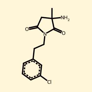 CC1(N)CC(=O)N(CCc2cccc(Cl)c2)C1=O